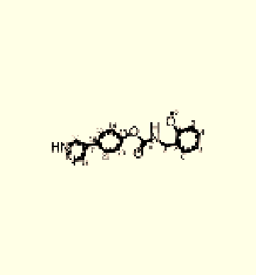 COc1ccccc1CNC(=O)Oc1ccc(-c2cn[nH]c2)cc1